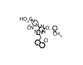 CN1CCC[C@H]1COc1nc(N2CCN(C(=O)O)[C@@H](CC#N)C2)c2ncc(Cc3cccc4cccc(Cl)c34)n2n1